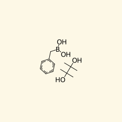 CC(C)(O)C(C)(C)O.OB(O)Cc1ccccc1